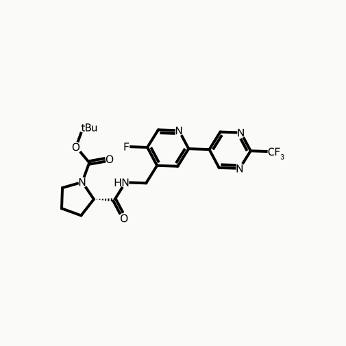 CC(C)(C)OC(=O)N1CCC[C@H]1C(=O)NCc1cc(-c2cnc(C(F)(F)F)nc2)ncc1F